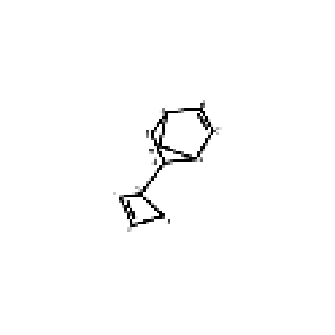 C1=CC(C2CC3C=CC2C3)C1